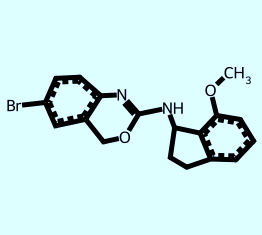 COc1cccc2c1C(NC1=Nc3ccc(Br)cc3CO1)CC2